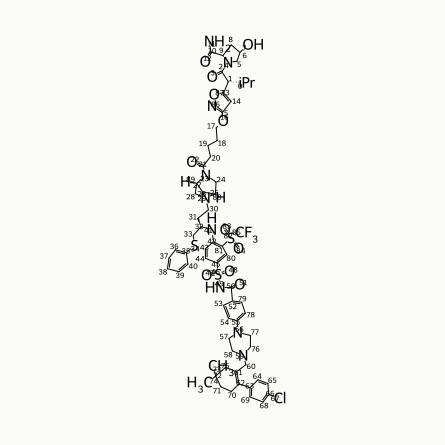 CC(C)[C@@H](C(=O)N1CC(O)CC1C(N)=O)c1cc(OCCCCC(=O)N2C[C@H]3C[C@@H]2CN3CC[C@H](CSc2ccccc2)Nc2ccc(S(=O)(=O)NC(=O)c3ccc(N4CCN(CC5=C(c6ccc(Cl)cc6)CCC(C)(C)C5)CC4)cc3)cc2S(=O)(=O)C(F)(F)F)no1